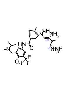 C=C(/C=N\NC)/C(N)=C/N(N)c1cc(C(=O)Nc2cc(CN(C)C(C)C)c(OC)c(C(F)(F)F)c2)ccc1C